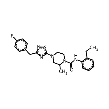 CCc1ccccc1NC(=O)N1CCN(c2nc(Cc3ccc(F)cc3)ns2)CC1C